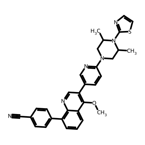 COc1c(-c2ccc(N3CC(C)N(c4nccs4)C(C)C3)nc2)cnc2c(-c3ccc(C#N)cc3)cccc12